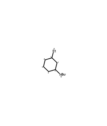 CCC[CH]C1CCCC(CC)C1